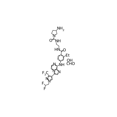 CCc1cc(Nc2nccn3c(-c4cn(CC(F)F)nc4C(F)(F)F)cnc23)ccc1C(=O)NCCNC(=O)N1CCC(N)C1.O=CO